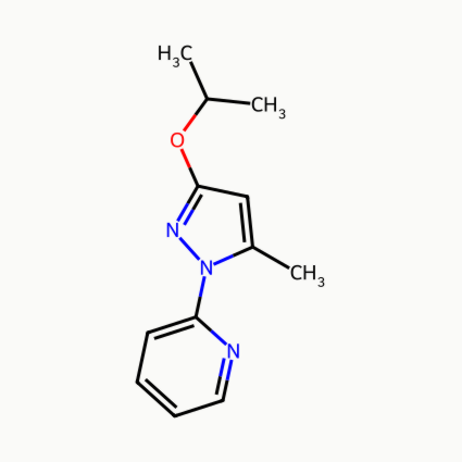 Cc1cc(OC(C)C)nn1-c1ccccn1